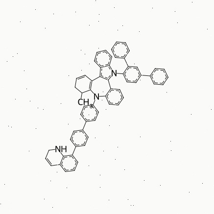 CC1CC=CC2=C1N(c1ccc(-c3ccc(-c4cccc5c4NCC=C5)cc3)cc1)c1ccccc1-c1c2c2ccccc2n1-c1ccc(-c2ccccc2)cc1-c1ccccc1